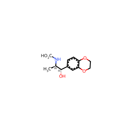 C[C@@H](NC(=O)O)[C@@H](O)c1ccc2c(c1)OCCO2